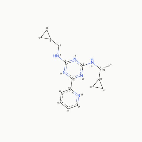 C[C@@H](Nc1nc(NCC2CC2)nc(-c2ccccn2)n1)C1CC1